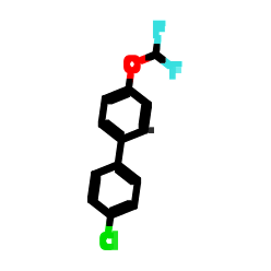 FC(F)Oc1c[c]c(-c2ccc(Cl)cc2)cc1